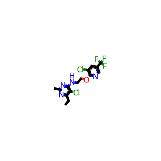 CCc1nc(C)nc(NCCOc2ncc(C(F)(F)F)cc2Cl)c1Cl